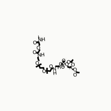 CC(=O)OC[C@H](COP(=O)(O)OCCNC(=O)CC(C)(C)OCCC(C)(C)OCCNC(=O)COCC(=O)NI)OC(C)=O